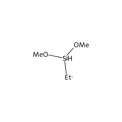 C[CH][SiH](OC)OC